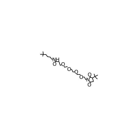 CC(C)(C)CCCCNC(=O)CCOCCOCCOCCOCCN1C(=O)CC(C(C)(C)C)C1=O